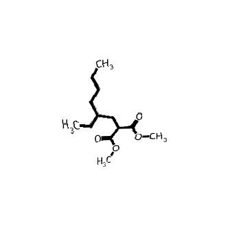 CCCCC(CC)CC(C(=O)OC)C(=O)OC